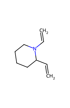 C=CC1CCCCN1C=C